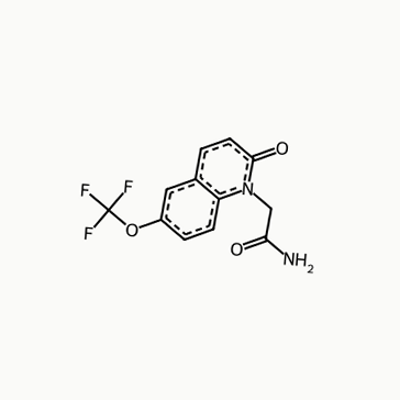 NC(=O)Cn1c(=O)ccc2cc(OC(F)(F)F)ccc21